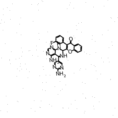 CC(Nc1ncnc(N)c1C(=N)c1cnc(N)nc1)c1oc2ccccc2c(=O)c1-c1cccc(F)c1